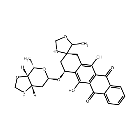 CC1OCN[C@]12Cc1c(O)c3c(c(O)c1[C@@H](O[C@H]1C[C@@H]4NCO[C@@H]4[C@H](C)O1)C2)C(=O)c1ccccc1C3=O